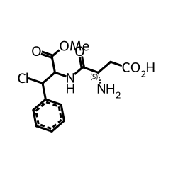 COC(=O)C(NC(=O)[C@@H](N)CC(=O)O)C(Cl)c1ccccc1